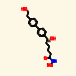 O=C(CCCC[C@@H](O)c1ccc(-c2ccc(CCO)cc2)cc1)NO